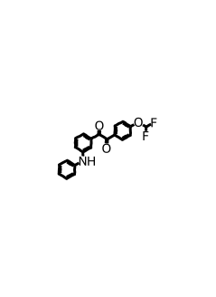 O=C(C(=O)c1cccc(Nc2ccccc2)c1)c1ccc(OC(F)F)cc1